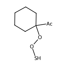 CC(=O)C1(OOS)CCCCC1